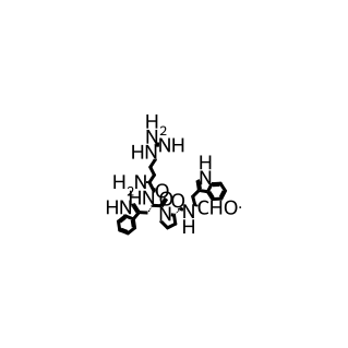 N=C(N)NCCC[C@H](N)C(=O)N[C@@H](Cc1c[nH]c2ccccc12)C(=O)N1CCC[C@H]1C(=O)N[C@H]([C]=O)Cc1c[nH]c2ccccc12